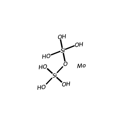 O[Si](O)(O)O[Si](O)(O)O.[Mo]